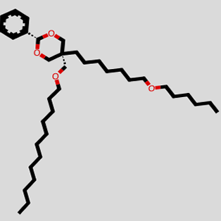 CCCCCCCCCCCCOC[C@]1(CCCCCCCOCCCCCC)CO[C@H](c2ccccc2)OC1